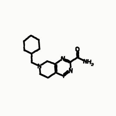 NC(=O)c1n[c]c2c(n1)CN(CC1CCCCC1)CC2